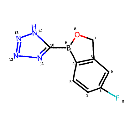 Fc1ccc2c(c1)COB2c1nnn[nH]1